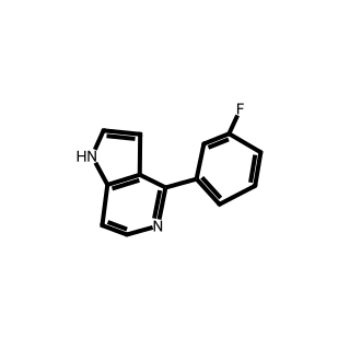 Fc1cccc(-c2nccc3[nH]ccc23)c1